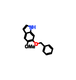 COc1cc2cc[nH]c2cc1OCc1ccccc1